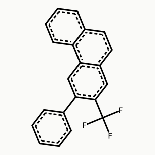 FC(F)(F)c1cc2ccc3ccccc3c2cc1-c1ccccc1